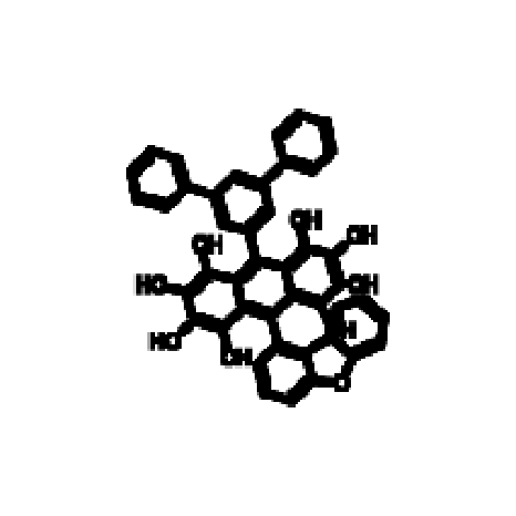 Oc1c(O)c(O)c2c(-c3cccc4oc5ccccc5c34)c3c(O)c(O)c(O)c(O)c3c(-c3cc(-c4ccccc4)cc(-c4ccccc4)c3)c2c1O